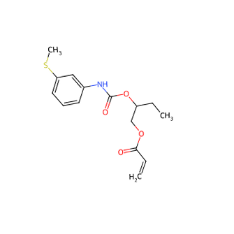 C=CC(=O)OCC(CC)OC(=O)Nc1cccc(SC)c1